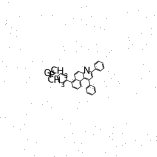 CP(C)(=O)c1ccc(-c2cccc3c2ccc2nc(-c4ccccc4)cc(-c4ccccc4)c23)cc1